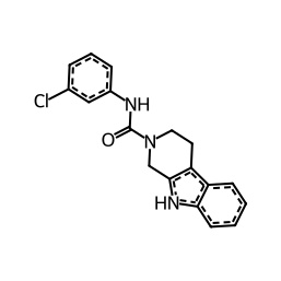 O=C(Nc1cccc(Cl)c1)N1CCc2c([nH]c3ccccc23)C1